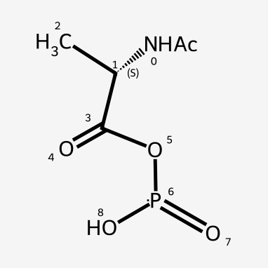 CC(=O)N[C@@H](C)C(=O)O[P](=O)O